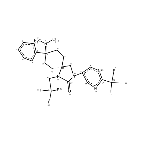 CN(C)[C@]1(c2ccccc2)CC[C@]2(CC1)CN(c1cnc(C(F)(F)F)nc1)C(=O)N2CC(F)(F)F